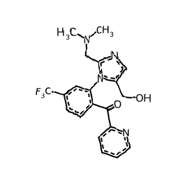 CN(C)Cc1ncc(CO)n1-c1cc(C(F)(F)F)ccc1C(=O)c1ccccn1